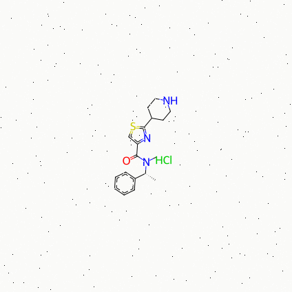 C[C@H](c1ccccc1)N(C)C(=O)c1csc(C2CCNCC2)n1.Cl